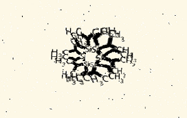 CC[Si]1(C(C)C)[Si](CC)(C(C)C)[Si](CC)(C(C)C)[Si](CC)(C(C)C)[Si](CC)(C(C)C)[Si]1(CC)C(C)C